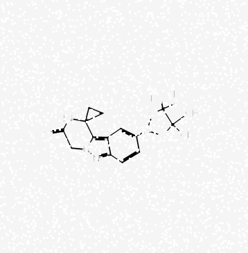 CC1(C)OB(c2ccc3nn4c(c3c2)C2(CC2)NC(=O)C4)OC1(C)C